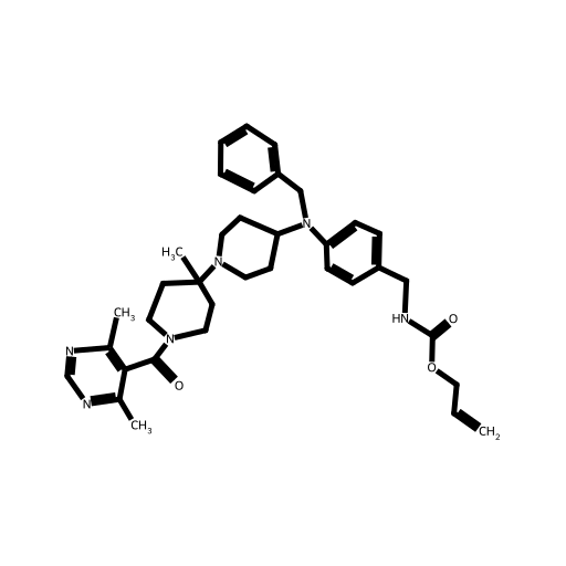 C=CCOC(=O)NCc1ccc(N(Cc2ccccc2)C2CCN(C3(C)CCN(C(=O)c4c(C)ncnc4C)CC3)CC2)cc1